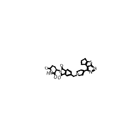 O=C1CCC(N2C(=O)c3ccc(CN4CC=C(c5ncnc6sc7c(c56)CCC7)CC4)cc3C2=O)C(=O)N1